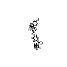 O=C(c1ccc(CCNS(=O)(=O)c2ccc(Cl)cc2)cc1)n1cnnn1